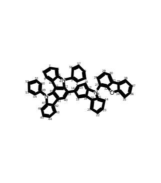 c1ccc(-n2c3ccccc3c3c2c(-c2ccc4c(c2)c2ccccc2n4-c2cccc4c2oc2ccccc24)cc2c4ccccc4n(-c4ccccc4)c23)cc1